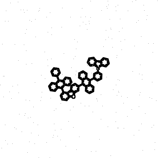 c1ccc(-c2c3ccccc3c(-c3cccc4oc5cc(-c6c7ccccc7c(-c7cccc(-n8c9ccccc9c9ccccc98)c7)c7ccccc67)ccc5c34)c3ccccc23)cc1